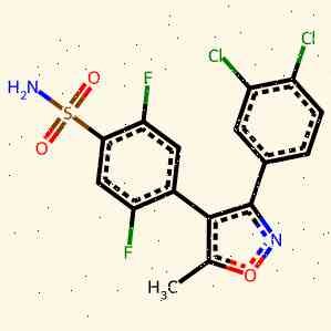 Cc1onc(-c2ccc(Cl)c(Cl)c2)c1-c1cc(F)c(S(N)(=O)=O)cc1F